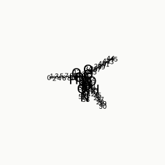 CCCCCCCCCCCC(=O)OCC(COC(=O)CCCCCCCCCCC)(COC(=O)CCCCCCCCCCC)NCCS(=O)(=O)NCCN(C)C